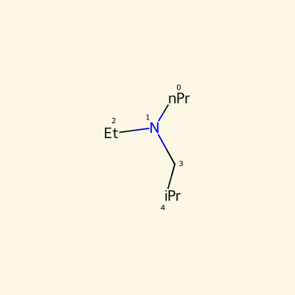 CCCN(CC)CC(C)C